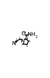 N#CCN1CCC[C@@H]1C(N)=O